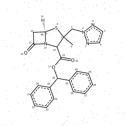 CC1(Cn2nccn2)S[C@@H]2CC(=O)N2C1C(=O)OC(c1ccccc1)c1ccccc1